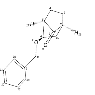 O=C1[C@H]2CC[C@@H]1[C@H](OCc1ccccc1)C2